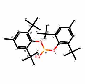 Cc1cc(C(C)(C)C)c(OP(O)Oc2c(C(C)(C)C)cc(C)cc2C(C)(C)C)c(C(C)(C)C)c1